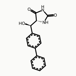 O=C1NC(=O)[C@@H]([C@H](O)c2ccc(-c3ccccc3)cc2)N1